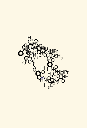 CC[C@H](C)[C@@H]([C@@H](CC(=O)N1CCC[C@H]1[C@H](OC)[C@@H](C)C(=O)N[C@H](C)[C@@H](O)c1ccccc1)OC)N(C)C(=O)[C@@H](NC(=O)[C@H](C(C)C)N(C)C(=O)OCc1ccc(NC(=O)[C@H](C)NC(=O)[C@@H](NC(=O)CCSSC(C)(C)CC(=O)N/N=C2\CCc3cc(OCCCC(=O)ON4C(=O)CCC4=O)cc(O)c32)C(C)C)cc1)C(C)C